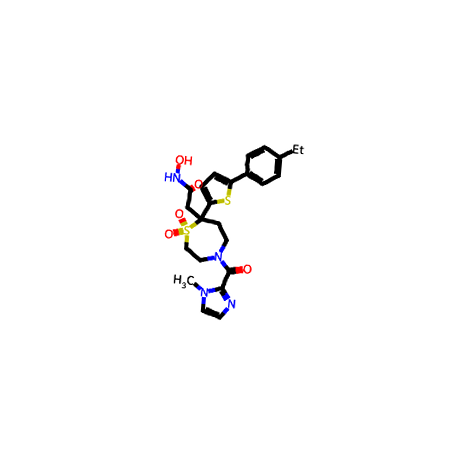 CCc1ccc(-c2ccc(C3(CC(=O)NO)CCN(C(=O)c4nccn4C)CCS3(=O)=O)s2)cc1